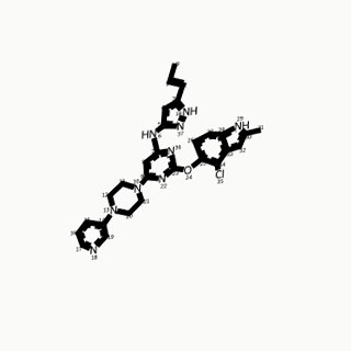 C/C=C/c1cc(Nc2cc(N3CCN(c4cccnc4)CC3)nc(Oc3ccc4[nH]c(C)cc4c3Cl)n2)n[nH]1